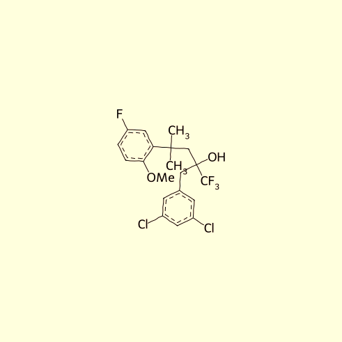 COc1ccc(F)cc1C(C)(C)CC(O)(Cc1cc(Cl)cc(Cl)c1)C(F)(F)F